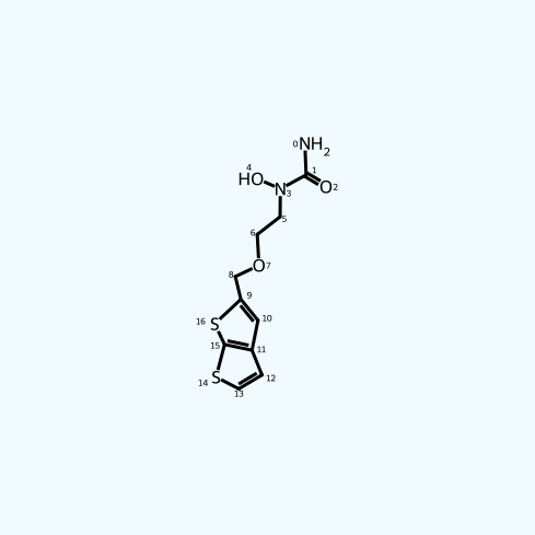 NC(=O)N(O)CCOCc1cc2ccsc2s1